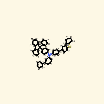 c1ccc(-c2cccc(N(c3ccc(-c4ccc5sc6ccccc6c5c4)cc3)c3ccc(C4(c5ccccc5)c5ccccc5-c5ccccc54)cc3)c2)cc1